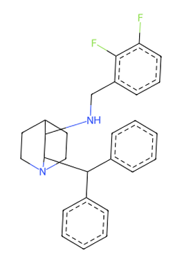 Fc1cccc(CNC2C3CCN(CC3)C2C(c2ccccc2)c2ccccc2)c1F